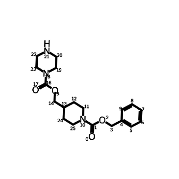 O=C(OCc1ccccc1)N1CCC(COC(=O)N2CCNCC2)CC1